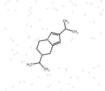 CC(C)c1cc2n(c1)CCN(C(C)C)C2